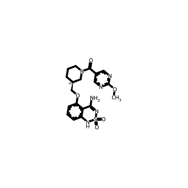 COc1ncc(C(=O)N2CCC[C@H](COc3cccc4c3C(N)=NS(=O)(=O)N4)C2)cn1